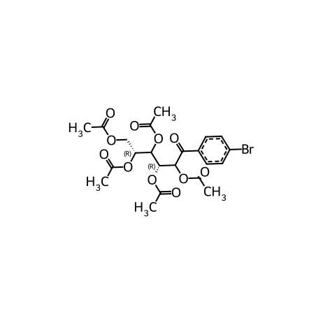 CC(=O)OC[C@@H](OC(C)=O)C(OC(C)=O)[C@@H](OC(C)=O)C(OC(C)=O)C(=O)c1ccc(Br)cc1